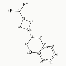 FC(F)C1CN([C@H]2COc3ccccc3C2)C1